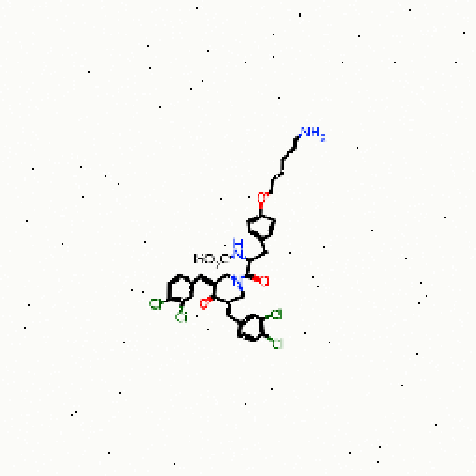 NCCCCCCOc1ccc(CC(NC(=O)O)C(=O)N2CC(=Cc3ccc(Cl)c(Cl)c3)C(=O)C(=Cc3ccc(Cl)c(Cl)c3)C2)cc1